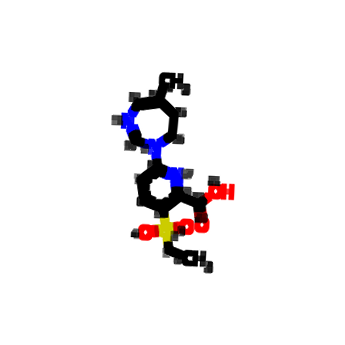 CCS(=O)(=O)c1ccc(N2C=NC=C(C)CC2)nc1C(=O)O